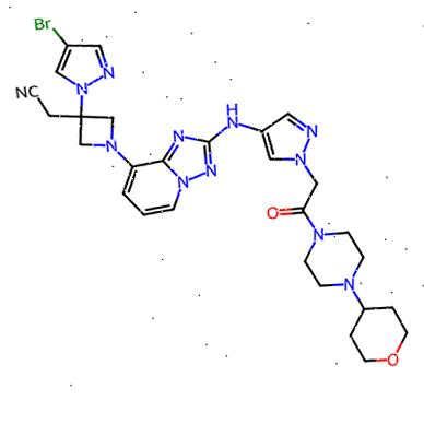 N#CCC1(n2cc(Br)cn2)CN(c2cccn3nc(Nc4cnn(CC(=O)N5CCN(C6CCOCC6)CC5)c4)nc23)C1